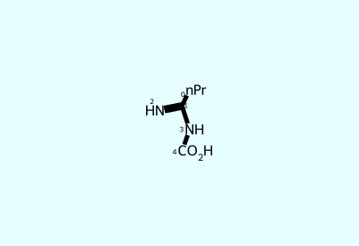 CCCC(=N)NC(=O)O